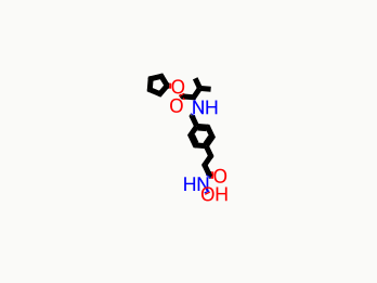 CC(C)[C@H](NCc1ccc(CCC(=O)NO)cc1)C(=O)OC1CCCC1